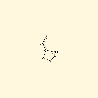 O=S=C1CC=CN1